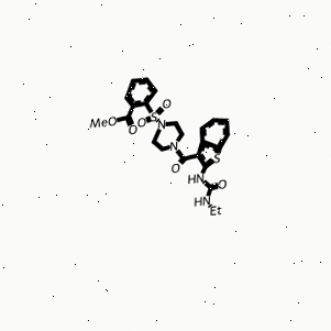 CCNC(=O)Nc1sc2ccccc2c1C(=O)N1CCN(S(=O)(=O)c2ccccc2C(=O)OC)CC1